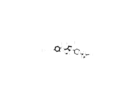 CC(C)c1nc(N2CCC(n3cc(F)c4c(Nc5ccc(C(=O)O)cc5F)ncnc43)CC2)no1.Cl